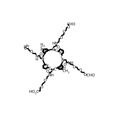 CCCOCCOCCNC(=O)CN1Cc2cccc(n2)CN(CC(=O)NCCOCCOCCC(=O)O)Cc2cc(C)cc(c2O)CN(CC(=O)NCCOCCOCCOC=O)Cc2cccc(n2)CN(CC(=O)NCCOCCOCCOC=O)Cc2cc(C)cc(c2O)C1